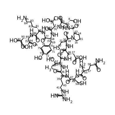 C[C@@H](O)[C@H](NC(=O)[C@H](CO)NC(=O)[C@@H]1CCCN1C(=O)[C@H](CS)NC(=O)[C@H](CC(=O)O)NC(=O)[C@@H](NC(=O)[C@H](CCCNC(=N)N)NC(=O)[C@H](CS)NC(=O)[C@@H](N)CCC(N)=O)[C@@H](C)O)C(=O)N[C@@H](Cc1ccc(O)cc1)C(=O)N[C@@H](CCCCN)C(=O)N[C@@H](CC(=O)O)C(=O)O